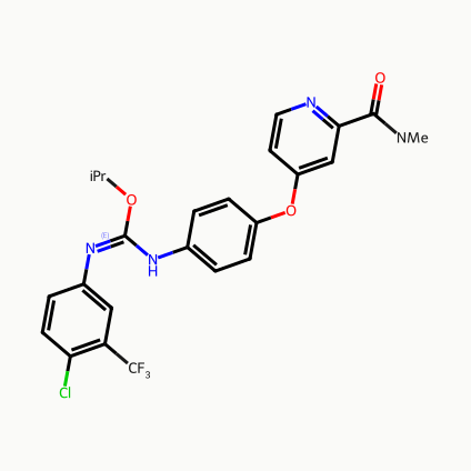 CNC(=O)c1cc(Oc2ccc(N/C(=N\c3ccc(Cl)c(C(F)(F)F)c3)OC(C)C)cc2)ccn1